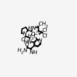 Cc1nccc(C(=N)C(N)=O)c1NCC(=O)N1CCC[C@H]1C(=O)N[C@H](C)[C@H]1CC1(Cl)Cl